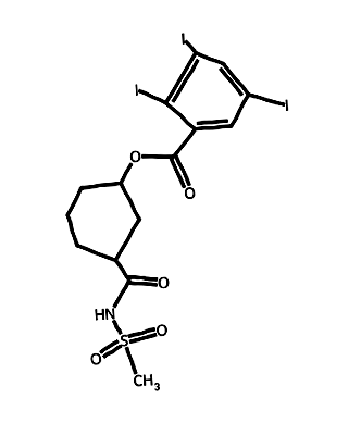 CS(=O)(=O)NC(=O)C1CCCC(OC(=O)c2cc(I)cc(I)c2I)C1